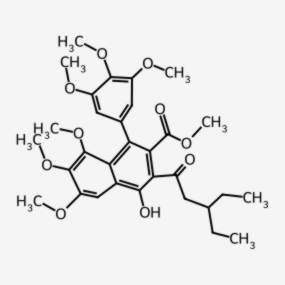 CCC(CC)CC(=O)c1c(C(=O)OC)c(-c2cc(OC)c(OC)c(OC)c2)c2c(OC)c(OC)c(OC)cc2c1O